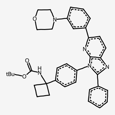 CC(C)(C)OC(=O)NC1(c2ccc(-n3c(-c4ccccc4)nc4ccc(-c5cccc(N6CCOCC6)c5)nc43)cc2)CCC1